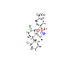 COc1ccc(S(=O)(=O)NC(C)c2cc(F)ccc2-c2ccccc2F)cc1